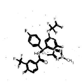 Cn1nnc(C[C@](NC(=O)c2ccc(F)c(C(F)(F)F)c2)(c2ccc(F)cc2)c2cc(F)cc(OC(F)(F)C(F)F)c2)n1